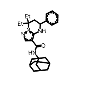 CCC1(CC)CC(c2ccccc2)Nc2c(C(=O)NC34CC5CC(CC(C5)C3)C4)cnn21